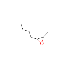 CCCCC1OC1C